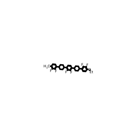 CCOc1ccc(C2CCC(c3ccc(C4CCC(c5ccc(C)c(F)c5F)CC4)c(F)c3F)CC2)c(F)c1F